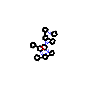 c1ccc(-c2cccc(-n3c4ccccc4c4ccc5c6ccccc6n(-c6cccc(-n7c8ccccc8c8c7ccc7c9ccccc9n(-c9ccccc9)c78)c6)c5c43)c2)cc1